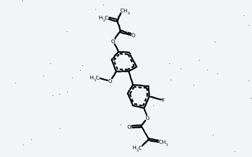 C=C(C)C(=O)Oc1ccc(-c2ccc(OC(=O)C(=C)C)c(F)c2)c(OC)c1